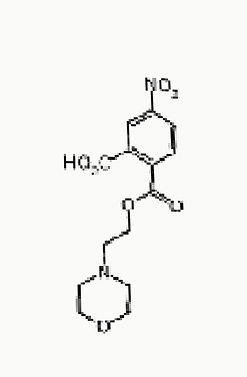 O=C(O)c1cc([N+](=O)[O-])ccc1C(=O)OCCN1CCOCC1